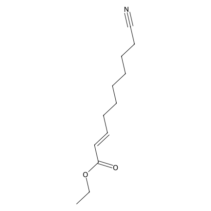 CCOC(=O)/C=C/CCCCCCC#N